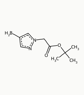 Bc1cnn(CC(=O)OC(C)(C)C)c1